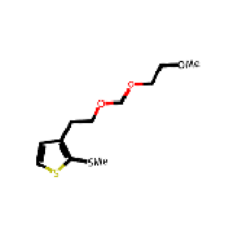 COCCOCOCCc1ccsc1SC